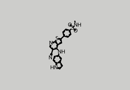 CNS(=O)(=O)c1ccc(-c2cc3c(Nc4ccc5[nH]ccc5c4)c(C#N)cnc3s2)cc1